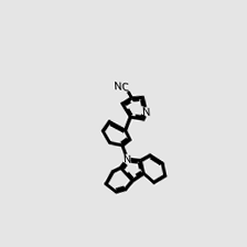 N#Cc1cncc(C2=CCCC(n3c4c(c5c3CCC=C5)CCC=C4)=C2)c1